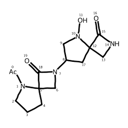 CC(=O)N1CCCC12CN(C1CN(O)C3(CNC3=O)C1)C2=O